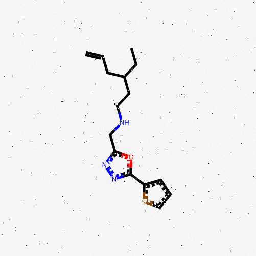 C=CCC(CC)CCNCc1nnc(-c2cccs2)o1